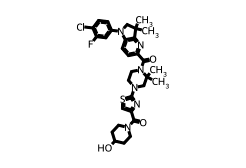 CC1(C)CN(c2ccc(Cl)c(F)c2)c2ccc(C(=O)N3CCN(c4nc(C(=O)N5CCC(O)CC5)cs4)CC3(C)C)nc21